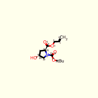 C=CCOC(=O)[C@@H]1C[C@@H](O)CN1C(=O)OC(C)(C)C